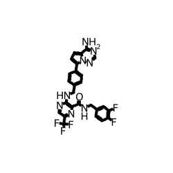 Nc1ncnn2c(-c3ccc(CNc4ncc(C(F)(F)F)nc4C(=O)NCc4ccc(F)c(F)c4)cc3)ccc12